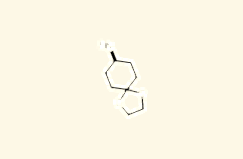 N=C1CCC2(CC1)OCCO2